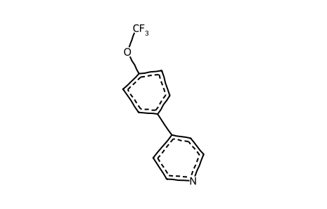 FC(F)(F)Oc1ccc(-c2ccncc2)cc1